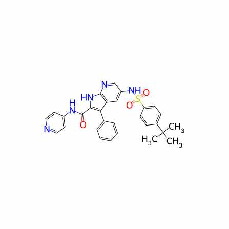 CC(C)(C)c1ccc(S(=O)(=O)Nc2cnc3[nH]c(C(=O)Nc4ccncc4)c(-c4ccccc4)c3c2)cc1